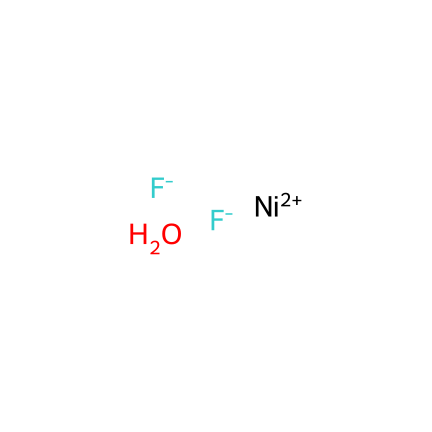 O.[F-].[F-].[Ni+2]